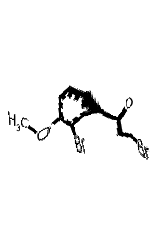 COc1cccc(C(=O)CBr)c1Br